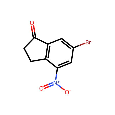 O=C1CCc2c1cc(Br)cc2[N+](=O)[O-]